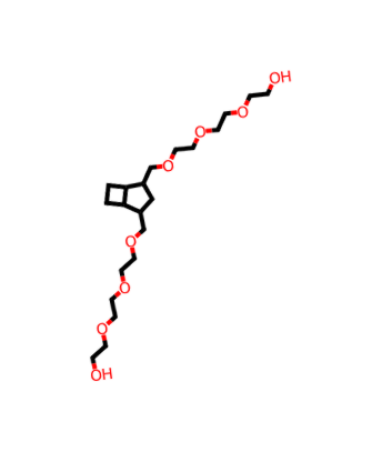 OCCOCCOCCOCC1CC(COCCOCCOCCO)C2CCC12